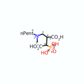 CCCCCN(C)CC(C(=O)O)C(C(=O)O)P(=O)(O)O